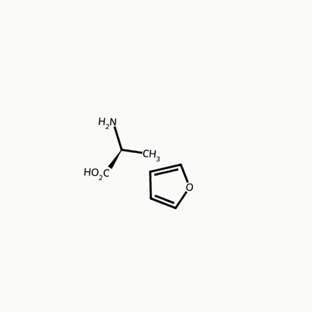 C[C@H](N)C(=O)O.c1ccoc1